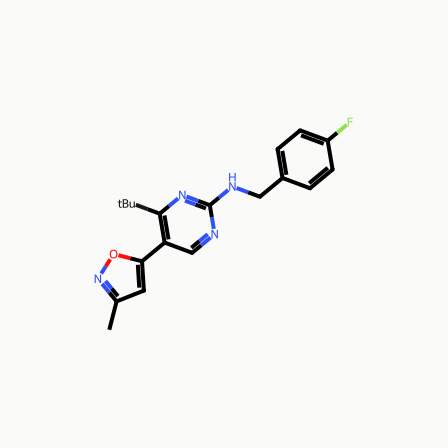 Cc1cc(-c2cnc(NCc3ccc(F)cc3)nc2C(C)(C)C)on1